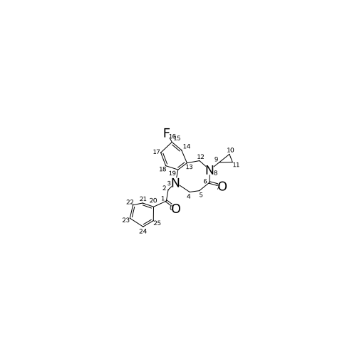 O=C(CN1CCC(=O)N(C2CC2)Cc2cc(F)ccc21)c1ccccc1